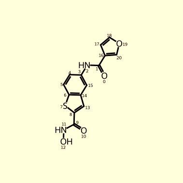 O=C(Nc1ccc2sc(C(=O)NO)cc2c1)c1ccoc1